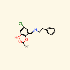 CC(C)C(=O)Oc1c(O)cc(Cl)cc1C=NCCc1ccccc1